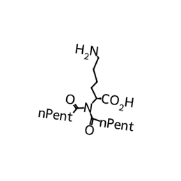 CCCCCC(=O)N(C(=O)CCCCC)[C@@H](CCCCN)C(=O)O